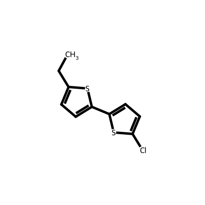 CCc1ccc(-c2ccc(Cl)s2)s1